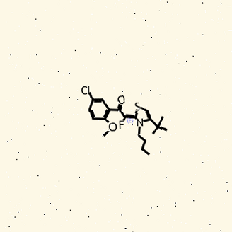 CCCCN1C(C(C)(C)C)=CS/C1=C(/F)C(=O)c1cc(Cl)ccc1OC